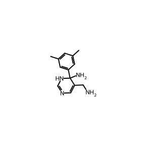 Cc1cc(C)cc(C2(N)NC=NC=C2CN)c1